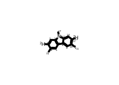 [2H]c1cc2c(cc1I)c1cc(I)c([2H])cc1n2C